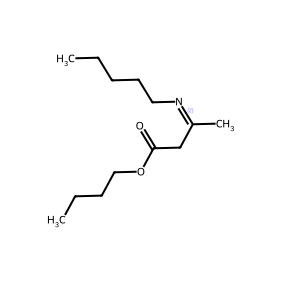 CCCCC/N=C(/C)CC(=O)OCCCC